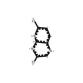 Clc1ccc2ncc(Cl)nc2n1